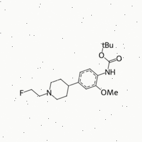 COc1cc(C2CCN(CCF)CC2)ccc1NC(=O)OC(C)(C)C